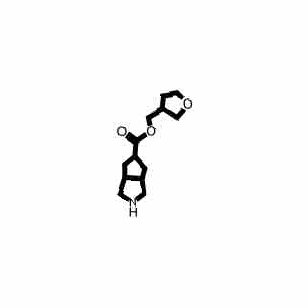 O=C(OCC1CCOC1)C1CC2CNCC2C1